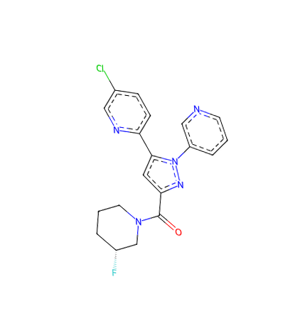 O=C(c1cc(-c2ccc(Cl)cn2)n(-c2cccnc2)n1)N1CCC[C@@H](F)C1